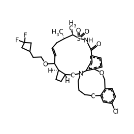 C[C@@H]1[C@@H](C)C/C=C/C(OCCC2CC(F)(F)C2)[C@@H]2CC[C@H]2CN2CCCCc3cc(Cl)ccc3COc3ccc(cc32)C(=O)NS1(=O)=O